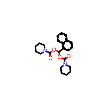 O=C(OC(OC(=O)N1CCCCC1)c1cccc2ccccc12)N1CCCCC1